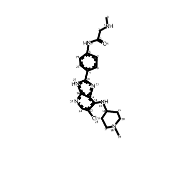 CNCC(=O)Nc1ccc(-c2nc3c(NC4CCN(C)CC4)c(Cl)cnc3[nH]2)cc1